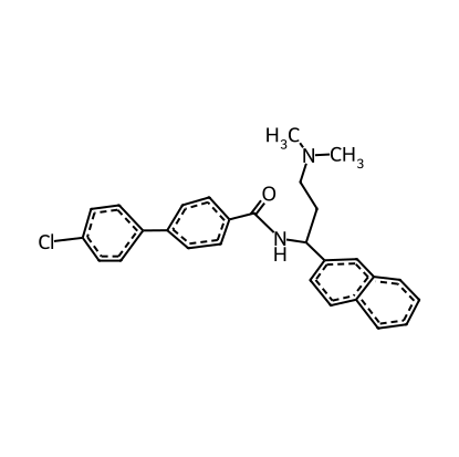 CN(C)CCC(NC(=O)c1ccc(-c2ccc(Cl)cc2)cc1)c1ccc2ccccc2c1